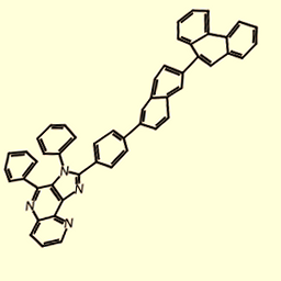 c1ccc(-c2nc3cccnc3c3nc(-c4ccc(-c5ccc6cc(-c7cc8ccccc8c8ccccc78)ccc6c5)cc4)n(-c4ccccc4)c23)cc1